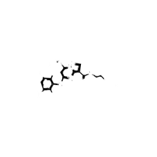 CCCNC(=O)c1cnn2c(NC)cc(Nc3c(F)c(F)cc(F)c3F)nc12